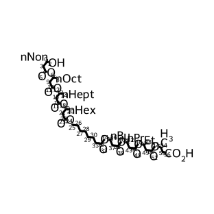 CCCCCCCCCC(O)CC(=O)OC(CCCCCCCC)CC(=O)OC(CCCCCCC)CC(=O)OC(CCCCCC)CC(=O)OCCCCCCCC(=O)OC(CCCC)CC(=O)OC(CCC)CC(=O)OC(CC)CC(=O)OC(C)CC(=O)O